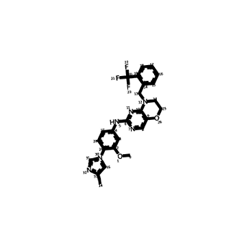 COc1cc(Nc2ncc3c(n2)N(Cc2ccccc2C(F)(F)F)CCO3)ccc1-n1cnc(C)c1